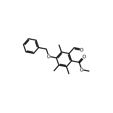 COC(=O)c1c(C)c(C)c(OCc2ccccc2)c(C)c1C=O